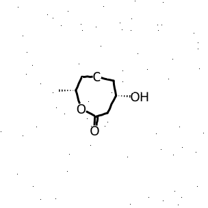 C[C@@H]1CCC[C@H](O)CC(=O)O1